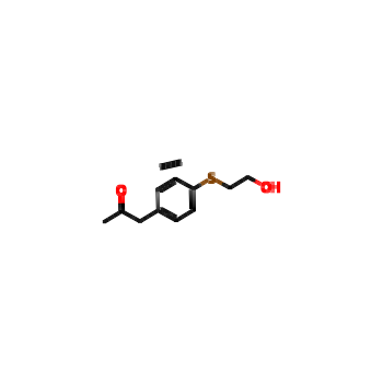 C=C.CC(=O)Cc1ccc(SCCO)cc1